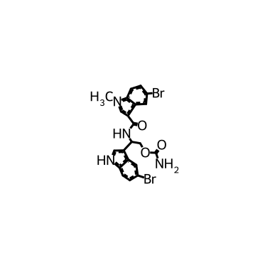 Cn1cc(C(=O)NC(COC(N)=O)c2c[nH]c3ccc(Br)cc23)c2cc(Br)ccc21